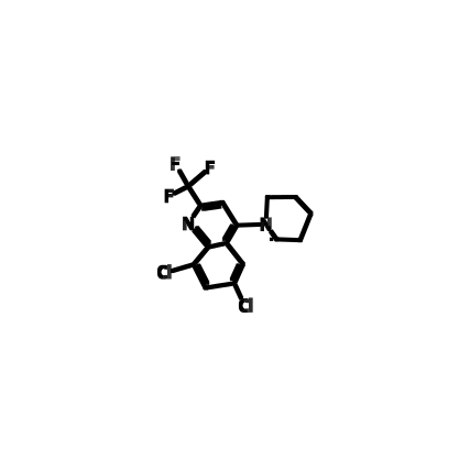 FC(F)(F)c1cc(N2[CH]CCCC2)c2cc(Cl)cc(Cl)c2n1